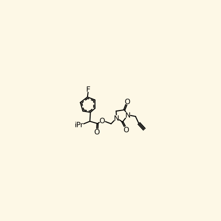 C#CCN1C(=O)CN(COC(=O)C(c2ccc(F)cc2)C(C)C)C1=O